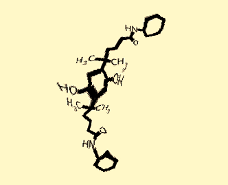 CC(C)(CCCC(=O)NC1CCCCC1)c1cc(O)c(C(C)(C)CCCC(=O)NC2CCCCC2)cc1O